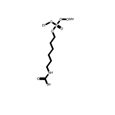 CCOP(=O)(OCCCCCCNC(=O)C(C)C)OOC